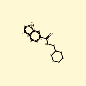 O=C(NCC1CCCCC1)c1ccc2cc[nH]c2c1